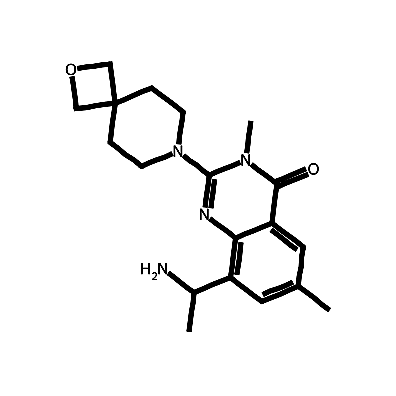 Cc1cc(C(C)N)c2nc(N3CCC4(CC3)COC4)n(C)c(=O)c2c1